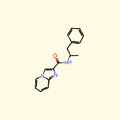 CC(Cc1ccccc1)NC(=O)c1cn2ccccc2n1